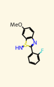 COc1ccc2c(c1)S(=N)C(c1ccccc1F)=N2